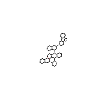 c1ccc(-c2c3ccccc3c(-c3cc(-c4ccc5oc6ccccc6c5c4)cc4ccccc34)c3ccccc23)c(-c2ccc3ccccc3c2)c1